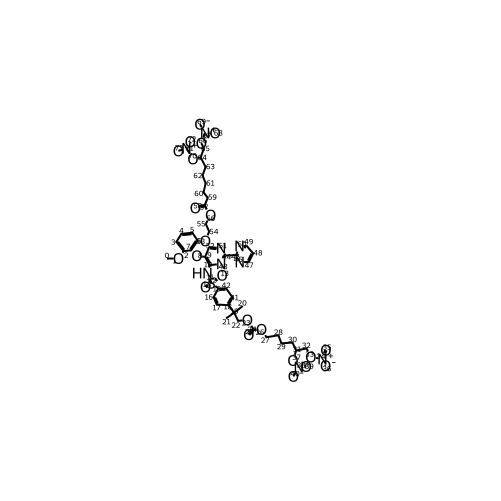 COc1ccccc1Oc1c(NS(=O)(=O)c2ccc(C(C)(C)COC(=O)OCCCCC(CO[N+](=O)[O-])O[N+](=O)[O-])cc2)nc(-c2ncccn2)nc1OCCOC(=O)CCCCCC(CO[N+](=O)[O-])O[N+](=O)[O-]